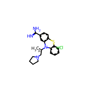 C[C@H](CN1CCCC1)N1c2ccccc2Sc2ccc(C(=N)N)cc21.Cl